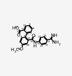 COc1ccc(-c2ccccc2C(=O)O)c(C(=O)Nc2ccc(C(=N)N)cc2)c1